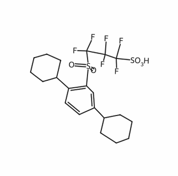 O=S(=O)(O)C(F)(F)C(F)(F)C(F)(F)S(=O)(=O)c1cc(C2CCCCC2)ccc1C1CCCCC1